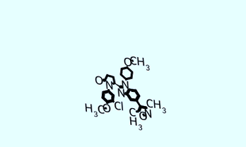 COc1ccc(N2C(=O)CC[C@H]2c2nc3cc(-c4c(C)noc4C)ccc3n2[C@H]2CC[C@H](OC)CC2)cc1Cl